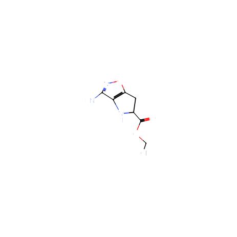 CCOC(=O)C1Cc2onc(N)c2N1